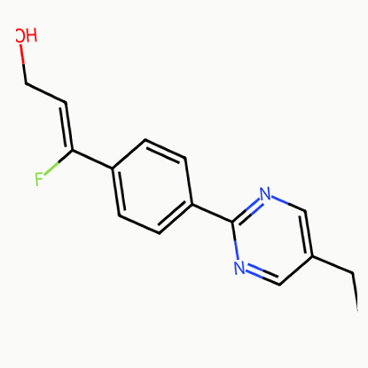 CCc1cnc(-c2ccc(C(F)=CCO)cc2)nc1